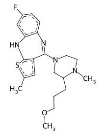 COCCCC1CN(C2=Nc3ccc(F)cc3Nc3sc(C)cc32)CCN1C